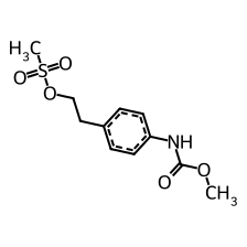 COC(=O)Nc1ccc(CCOS(C)(=O)=O)cc1